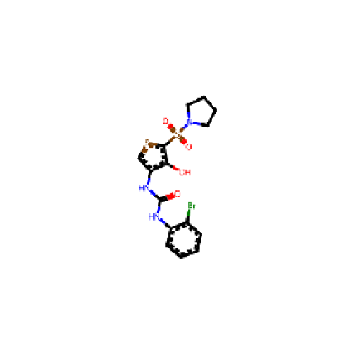 O=C(Nc1ccccc1Br)Nc1csc(S(=O)(=O)N2CCCC2)c1O